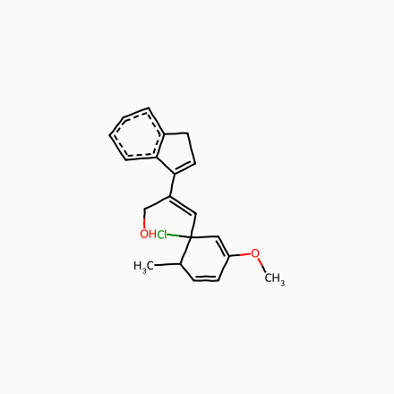 COC1=CC(Cl)(C=C(CO)C2=CCc3ccccc32)C(C)C=C1